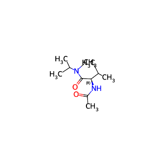 CC(=O)N[C@@H](C(=O)N(C)C(C)C)C(C)C